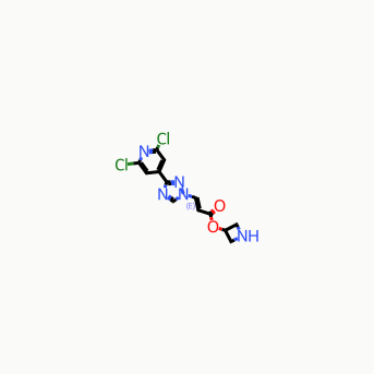 O=C(/C=C/n1cnc(-c2cc(Cl)nc(Cl)c2)n1)OC1CNC1